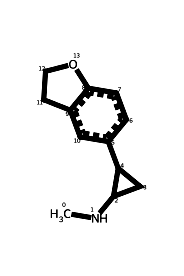 CNC1CC1c1ccc2c(c1)CCO2